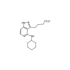 O=C(O)CCCc1n[nH]c2ccnc(NC3CCCCC3)c12